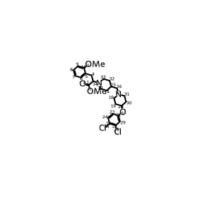 COC(=O)C(Cc1ccccc1OC)N1CCC(CN2CCC(Oc3ccc(Cl)c(Cl)c3)CC2)CC1